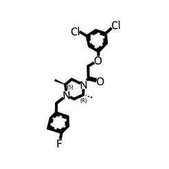 C[C@@H]1CN(Cc2ccc(F)cc2)[C@@H](C)CN1C(=O)COc1cc(Cl)cc(Cl)c1